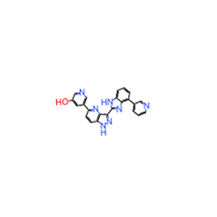 Oc1cncc(-c2ccc3[nH]nc(-c4nc5c(-c6cccnc6)cccc5[nH]4)c3n2)c1